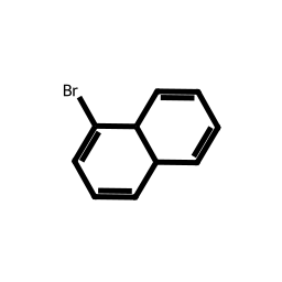 BrC1=CC=CC2C=CC=CC12